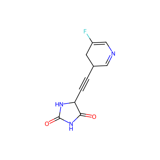 O=C1NC(=O)C(C#CC2C=NC=C(F)C2)N1